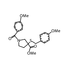 COC(=O)C1(SCc2ccc(OC)cc2)CCN(C(=O)c2ccc(OC)cc2)C1